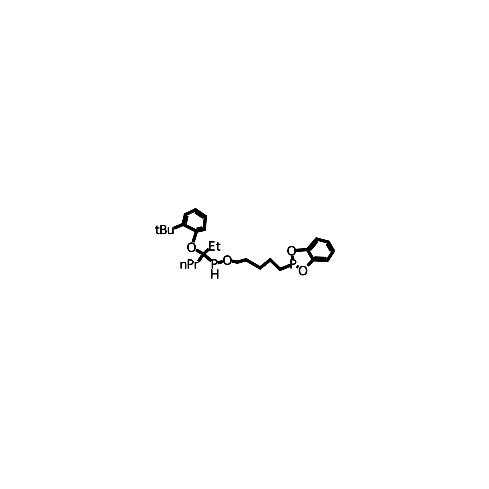 CCCC(CC)(Oc1ccccc1C(C)(C)C)POCCCCCP1Oc2ccccc2O1